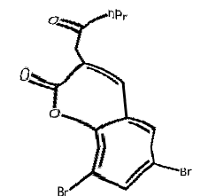 CCCC(=O)c1cc2cc(Br)cc(Br)c2oc1=O